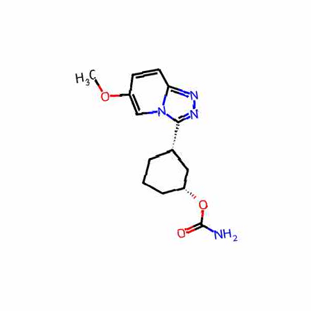 COc1ccc2nnc([C@H]3CCC[C@@H](OC(N)=O)C3)n2c1